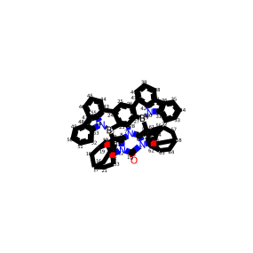 O=c1n2c3c(c4c2n2c5c(c6c(n15)C1CC5CC(CC6C5)C1)B1c5c(cc6c(c5-2)B4n2c4ccccc4c4cccc-6c42)-c2cccc4c5ccccc5n1c24)C1CC2CC(C1)CC3C2